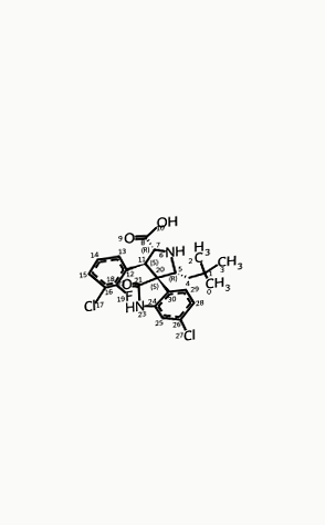 CC(C)(C)C[C@H]1N[C@@H](C(=O)O)[C@H](c2cccc(Cl)c2F)[C@@]12C(=O)Nc1cc(Cl)ccc12